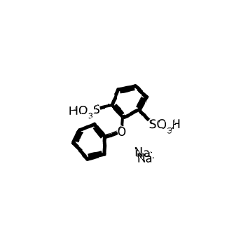 O=S(=O)(O)c1cccc(S(=O)(=O)O)c1Oc1ccccc1.[Na].[Na]